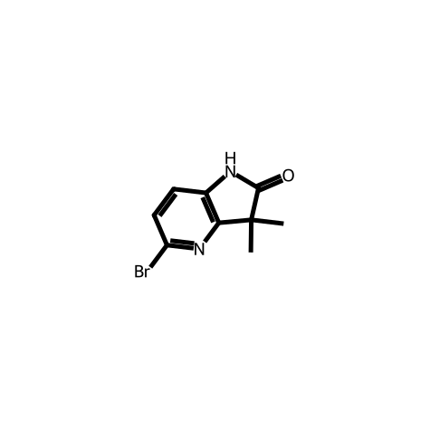 CC1(C)C(=O)Nc2ccc(Br)nc21